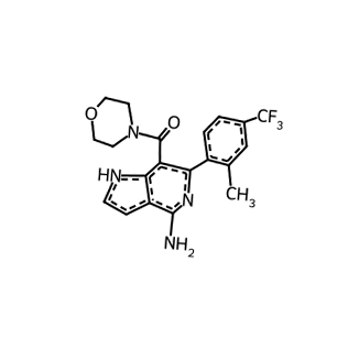 Cc1cc(C(F)(F)F)ccc1-c1nc(N)c2cc[nH]c2c1C(=O)N1CCOCC1